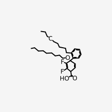 CCCCCCCCCOC1(c2ccccc2CCCCCCCCC)C=CC(C(=O)O)C(F)=C1F